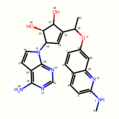 CNc1ccc2ccc(OC(C)C3=CC(n4ccc5c(N)ncnc54)[C@@H](O)C3O)cc2n1